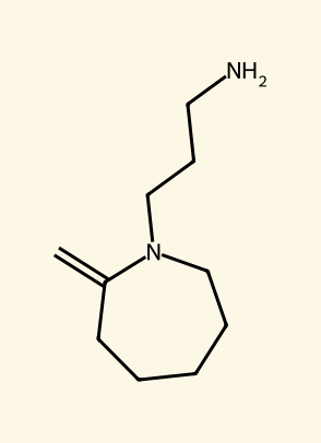 C=C1CCCCCN1CCCN